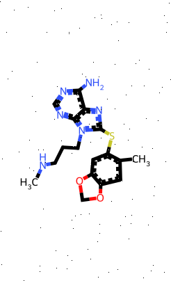 CNCCCn1c(Sc2cc3c(cc2C)OCO3)nc2c(N)ncnc21